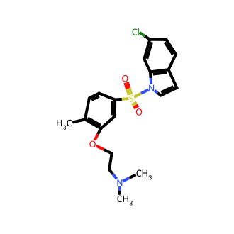 Cc1ccc(S(=O)(=O)n2ccc3ccc(Cl)cc32)cc1OCCN(C)C